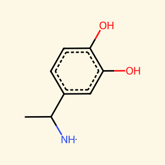 CC([NH])c1ccc(O)c(O)c1